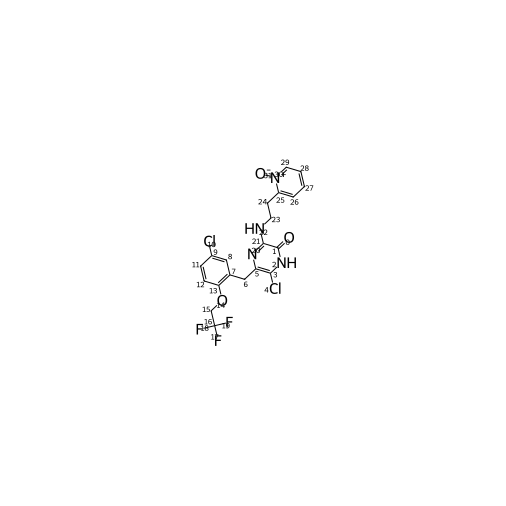 O=c1[nH]c(Cl)c(Cc2cc(Cl)ccc2OCC(F)(F)F)nc1NCCc1cccc[n+]1[O-]